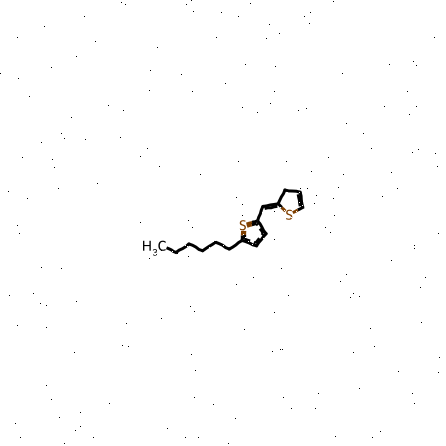 CCCCCCc1ccc(C=C2CC=CS2)s1